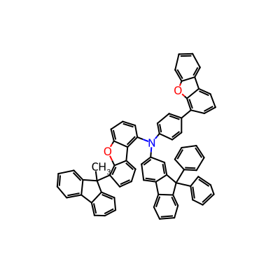 CC1(c2cccc3c2oc2cccc(N(c4ccc(-c5cccc6c5oc5ccccc56)cc4)c4ccc5c(c4)C(c4ccccc4)(c4ccccc4)c4ccccc4-5)c23)c2ccccc2-c2ccccc21